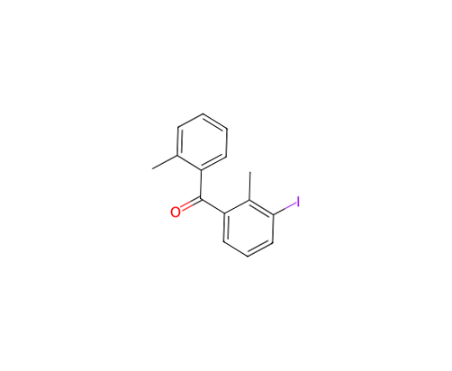 Cc1ccccc1C(=O)c1cccc(I)c1C